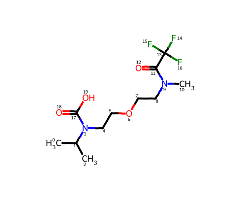 CC(C)N(CCOCCN(C)C(=O)C(F)(F)F)C(=O)O